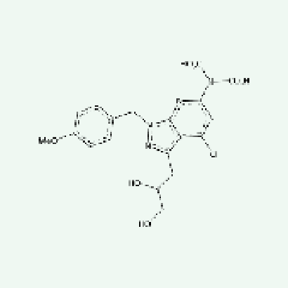 COc1ccc(Cn2nc(CC(O)CO)c3c(Cl)nc(N(C(=O)O)C(=O)O)nc32)cc1